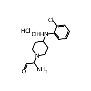 Cl.Cl.NC(C=O)N1CCC(Nc2ccccc2Cl)CC1